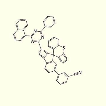 N#Cc1cccc(-c2ccc3c(c2)C2(c4ccccc4Sc4ccccc42)c2cc(-c4nc(-c5ccccc5)nc(-c5cccc6ccccc56)n4)ccc2-3)c1